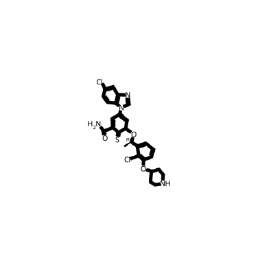 C[C@@H](OC1C=C(n2cnc3cc(Cl)ccc32)C=C(C(N)=O)C1=S)c1cccc(OC2CCNCC2)c1Cl